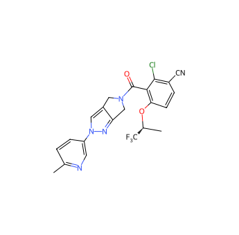 Cc1ccc(-n2cc3c(n2)CN(C(=O)c2c(O[C@@H](C)C(F)(F)F)ccc(C#N)c2Cl)C3)cn1